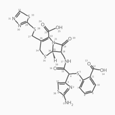 Nc1nc(C(Sc2ccccc2C(=O)O)C(=O)NC2C(=O)N3C(C(=O)O)=C(CSc4nncs4)CS[C@@H]23)cs1